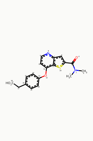 CN(C)C(=O)c1cc2nccc(Oc3ccc(CC(=O)O)cc3)c2s1